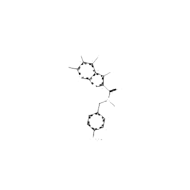 COc1ccc(CN(C)C(=O)c2sc3nc(C)c(Cl)c(C)c3c2Br)cc1